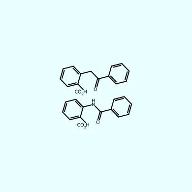 O=C(Cc1ccccc1C(=O)O)c1ccccc1.O=C(Nc1ccccc1C(=O)O)c1ccccc1